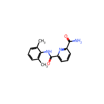 Cc1cccc(C)c1NC(=O)c1cccc(C(N)=O)n1